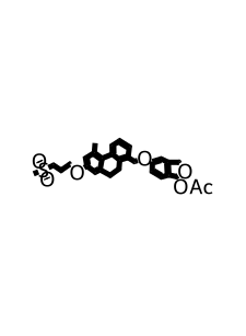 CC(=O)O[C@@H]1OCc2cc(OCc3cccc4c3CCc3cc(OCCCS(C)(=O)=O)cc(C)c3-4)ccc21